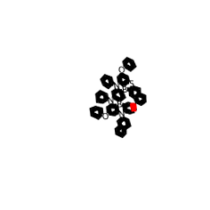 c1ccc(Oc2cc3c4c(c2)N(c2ccccc2)c2cc5c(cc2B4c2cc4ccccc4cc2S3)B2c3cc4ccccc4cc3N(c3ccc4ccccc4c3)c3cc(Oc4ccccc4)cc(c32)N5c2ccccc2)cc1